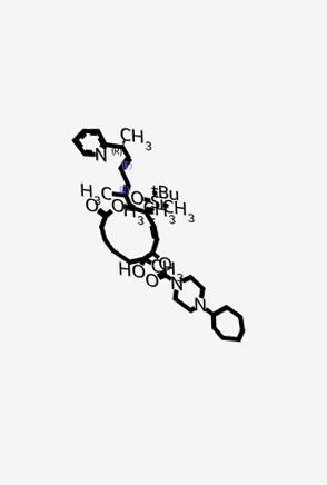 C/C(=C\C=C\[C@@H](C)c1ccccn1)C1(O[Si](C)(C)C(C)(C)C)OC(=O)CCCCC(C)(O)C(OC(=O)N2CCN(C3CCCCCC3)CC2)C=CC1C